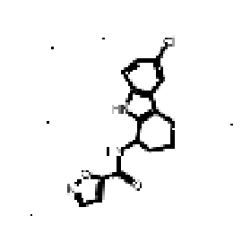 O=C(NC1CCCc2c1[nH]c1ccc(Cl)cc21)c1ccno1